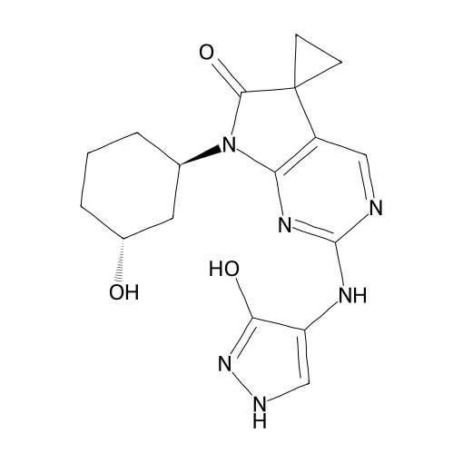 O=C1N([C@@H]2CCC[C@@H](O)C2)c2nc(Nc3c[nH]nc3O)ncc2C12CC2